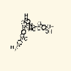 CN1CCC(N2Cc3cc4nc(-c5c(NC[C@@H](O)COc6cc(O)c(O)cc6Cl)cc[nH]c5=O)[nH]c4cc3C2=O)CC1